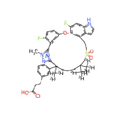 [2H]C([2H])([2H])C1(c2cccc(CCC(=O)O)c2)CCCC(C([2H])([2H])[2H])(C([2H])([2H])[2H])CS(=O)(=O)CCc2c(c(F)cc3[nH]ccc23)Oc2ccc(F)c(c2)-c2nc1nn2C